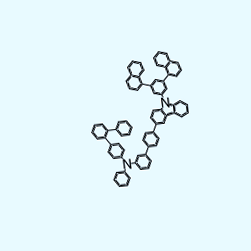 c1ccc(-c2ccccc2-c2ccc(N(c3ccccc3)c3cccc(-c4ccc(-c5ccc6c(c5)c5ccccc5n6-c5cc(-c6cccc7ccccc67)cc(-c6cccc7ccccc67)c5)cc4)c3)cc2)cc1